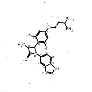 CC(P)CCOc1cc(F)c(C2C(C)C(=O)N2c2ccc3[nH]cnc3c2)c(F)c1